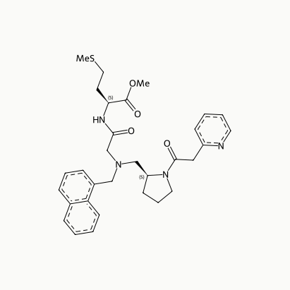 COC(=O)[C@H](CCSC)NC(=O)CN(Cc1cccc2ccccc12)C[C@@H]1CCCN1C(=O)Cc1ccccn1